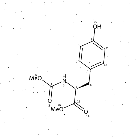 COC(=O)N[C@@H](Cc1ccc(O)cc1)C(=O)OC